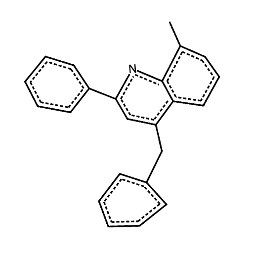 Cc1cccc2c(Cc3ccccc3)cc(-c3ccccc3)nc12